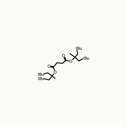 CC(C)(C)CC(C)(CC(C)(C)C)OC(=O)CCC(=O)OC(C)(CC(C)(C)C)CC(C)(C)C